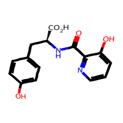 O=C(N[C@@H](Cc1ccc(O)cc1)C(=O)O)c1ncccc1O